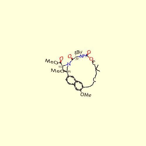 COC(=O)[C@@H]1C[C@]2(OC)CN1C(=O)[C@H](C(C)(C)C)NC(=O)OCC(C)(C)CCCCc1cc3cc2ccc3cc1OC